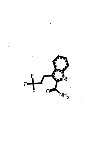 NC(=O)c1[nH]c2ccccc2c1C[CH]C(F)(F)F